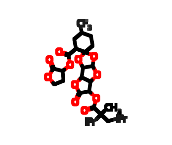 CC(C)CC(C)(C(=O)OC1C(=O)OC2C3OC4(CCC(C(F)(F)F)CC4C(=O)OC4CCOC4=O)OC3OC12)C(C)C